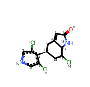 O=C1C=C2C[C@H](c3c(Cl)cncc3Cl)CC(Cl)C2N1